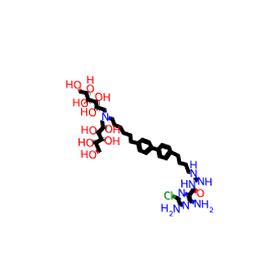 N=C(NCCCCc1ccc(-c2ccc(CCCCCCN(C[C@H](O)[C@@H](O)[C@H](O)[C@H](O)CO)C[C@H](O)[C@@H](O)[C@H](O)[C@H](O)CO)cc2)cc1)NC(=O)c1nc(Cl)c(N)nc1N